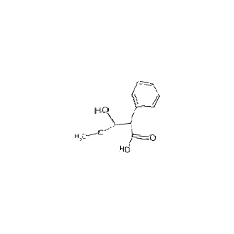 CCC(O)C(C(=O)O)c1ccccc1